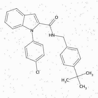 CC(C)(C)c1ccc(CNC(=O)c2cc3ccccc3n2-c2ccc(Cl)cc2)cc1